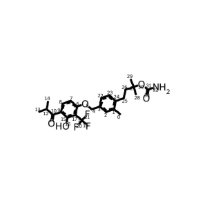 Cc1cc(COc2ccc(C(=O)C(C)C)c(O)c2C(F)(F)F)ccc1CCC(C)(C)OC(N)=O